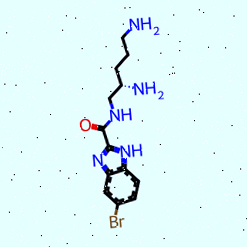 NCCC[C@H](N)CNC(=O)c1nc2cc(Br)ccc2[nH]1